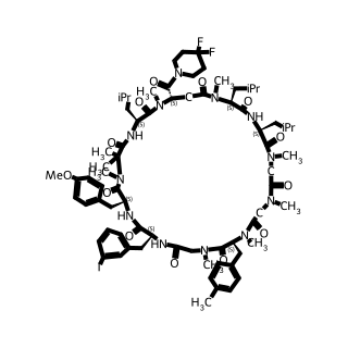 COc1ccc(C[C@@H]2NC(=O)[C@H](Cc3cccc(I)c3)NC(=O)CN(C)C(=O)[C@H](Cc3ccc(C)cc3)N(C)C(=O)CN(C)C(=O)CN(C)C(=O)[C@H](CC(C)C)NC(=O)[C@H](CC(C)C)N(C)C(=O)C[C@@H](C(=O)N3CCC(F)(F)CC3)N(C)C(=O)[C@H](CC(C)C)NC(=O)C(C)(C)N(C)C2=O)cc1